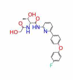 C[C@@H](O)C(NC(=O)CO)C(=O)Nc1cccc(-c2ccc(Oc3ccc(F)cc3)cc2)n1